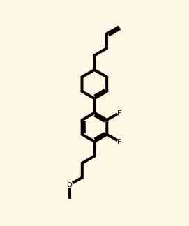 C=CCCC1CC=C(c2ccc(CCCOC)c(F)c2F)CC1